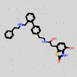 O=c1[nH]c2c(O)ccc(CC(O)NCCc3ccc(-c4ccccc4CNCCc4ccccc4)cc3)c2s1